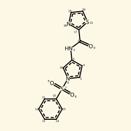 O=C(Nc1ccn(S(=O)(=O)c2ccccc2)c1)c1nccs1